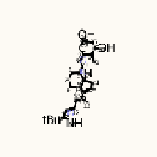 C=C1/C(=C\C=C2/CCC[C@]3(C)C([C@@H](C)C/C=C/C(=N)C(C)(C)C)=CC[C@@H]23)C[C@@H](O)C[C@@H]1O